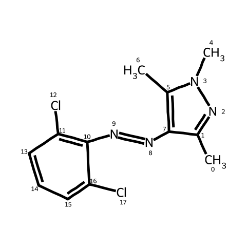 Cc1nn(C)c(C)c1N=Nc1c(Cl)cccc1Cl